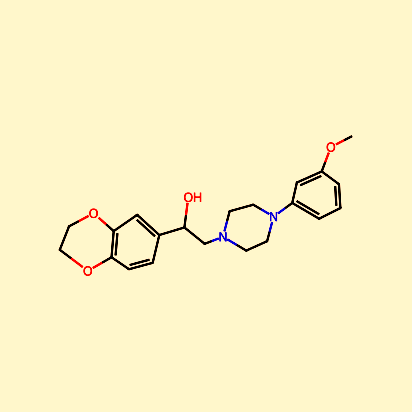 COc1cccc(N2CCN(CC(O)c3ccc4c(c3)OCCO4)CC2)c1